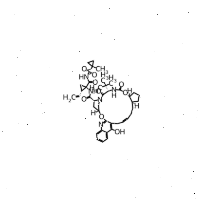 C=C[C@@H]1C[C@]1(NC(=O)[C@@H]1C[C@@H]2CN1C(=O)[C@H](C(C)(C)C)NC(=O)O[C@@H]1CCC[C@H]1CCC=CCc1c(nc3ccccc3c1O)O2)C(=O)NS(=O)(=O)C1(C)CC1